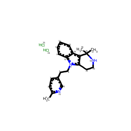 Cc1ccc(CCn2c3c(c4ccccc42)C(C)(C)NCC3)cn1.Cl.Cl